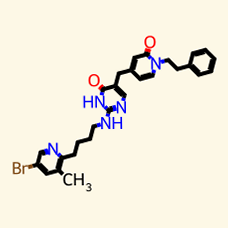 Cc1cc(Br)cnc1CCCCNc1ncc(Cc2ccn(CCc3ccccc3)c(=O)c2)c(=O)[nH]1